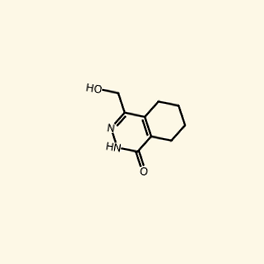 O=c1[nH]nc(CO)c2c1CCCC2